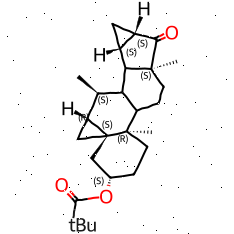 C[C@H]1C2C3[C@@H]4C[C@@H]4C(=O)[C@@]3(C)CCC2[C@@]2(C)CC[C@H](OC(=O)C(C)(C)C)C[C@]23C[C@H]13